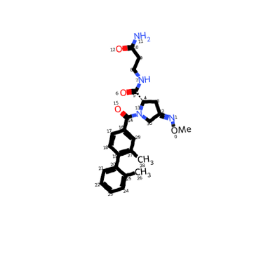 CON=C1C[C@@H](C(=O)NCCC(N)=O)N(C(=O)c2ccc(-c3ccccc3C)c(C)c2)C1